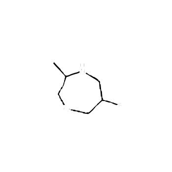 CC1COCC(F)CN1